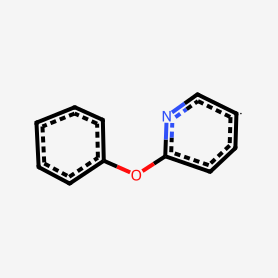 [c]1ccc(Oc2ccccc2)nc1